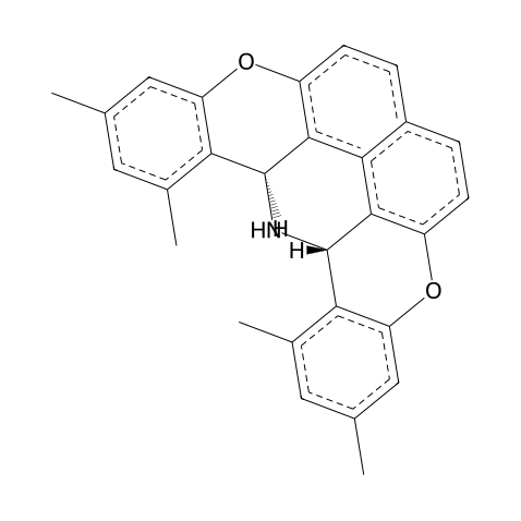 Cc1cc(C)c2c(c1)Oc1ccc3ccc4c5c3c1[C@H]2N[C@H]5c1c(C)cc(C)cc1O4